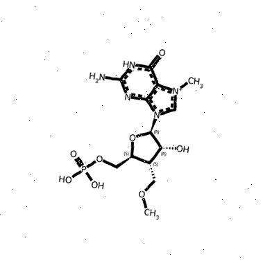 COC[C@H]1[C@@H](O)[C@H](n2c[n+](C)c3c(=O)[nH]c(N)nc32)O[C@@H]1COP(=O)(O)O